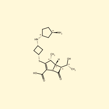 C[C@@H](O)[C@H]1C(=O)N2C(C(=O)O)=C(S[C@H]3C[C@@H](N[C@@H]4CC[C@@H](N)C4)C3)[C@H](C)[C@H]12